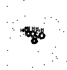 C[C@H](Nc1ncnc2[nH]cnc12)c1nc2ccccc2n1C1CCCNC1